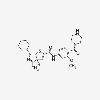 COc1cc(NC(=O)C2=C[C@@H]3C(C)=NN(C4CCCCC4)C3S2)ccc1C(=O)N1CCNCC1